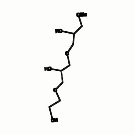 COCC(O)COCC(O)COCCO